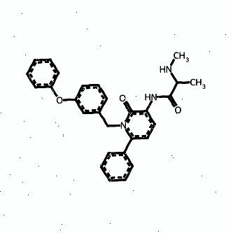 CNC(C)C(=O)Nc1ccc(-c2ccccc2)n(Cc2cccc(Oc3ccccc3)c2)c1=O